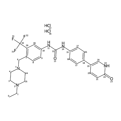 CCN1CCN(Cc2ccc(NC(=O)Nc3ccc(-c4ccc(=O)[nH]c4)cc3)cc2C(F)(F)F)CC1.Cl.Cl